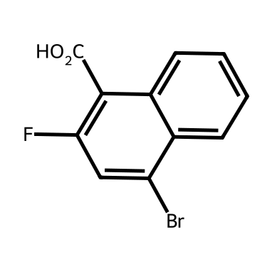 O=C(O)c1c(F)cc(Br)c2ccccc12